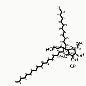 CCCCCCCCCCCCCCCCCC[N+](CCCO)(CCCCCCCCCCCC)C1O[C@H](CO)[C@@H](O)[C@H](O)[C@H]1O.[Cl-]